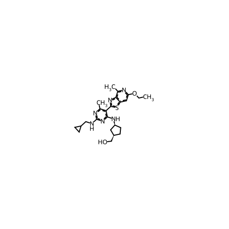 CCOc1cc2sc(-c3c(C)nc(NCC4CC4)nc3N[C@H]3CC[C@@H](CO)C3)nc2c(C)n1